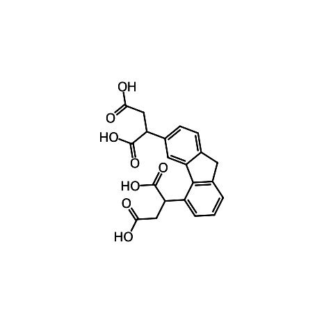 O=C(O)CC(C(=O)O)c1ccc2c(c1)-c1c(cccc1C(CC(=O)O)C(=O)O)C2